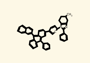 CC1CCc2c(nc(-c3ccccc3)n2C2C=CC(c3ccc4c(-c5ccc6ccccc6c5)c5ccccc5c(-c5ccccc5)c4c3)=CC2)C1